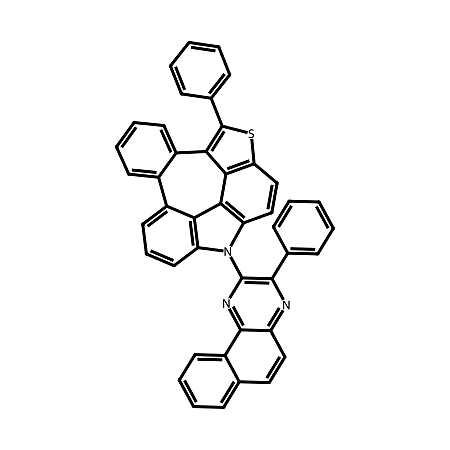 c1ccc(-c2nc3ccc4ccccc4c3nc2-n2c3cccc4c3c3c5c(c(-c6ccccc6)sc5ccc32)-c2ccccc2-4)cc1